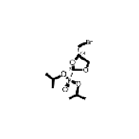 CC(C)OP(=O)(OC(C)C)[C@H]1OC[C@@H](CBr)O1